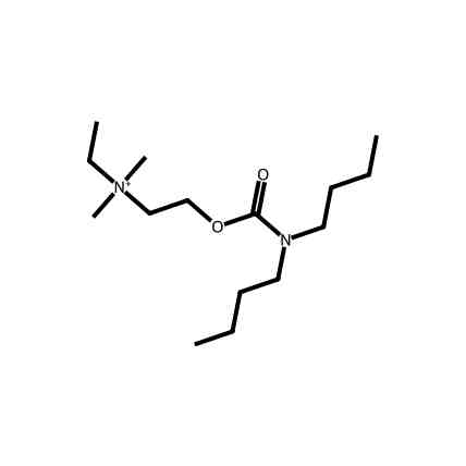 CCCCN(CCCC)C(=O)OCC[N+](C)(C)CC